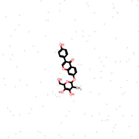 CC1C(O)=C(O)C(CO)OC1Oc1ccc2c(=O)c(-c3ccc(O)cc3)coc2c1